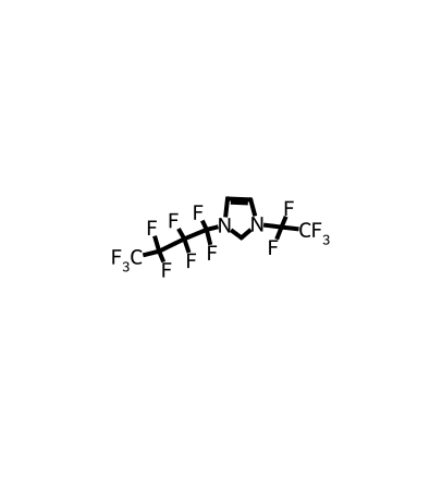 FC(F)(F)C(F)(F)N1C=CN(C(F)(F)C(F)(F)C(F)(F)C(F)(F)F)C1